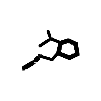 CN(C)c1ccccc1CN=C=S